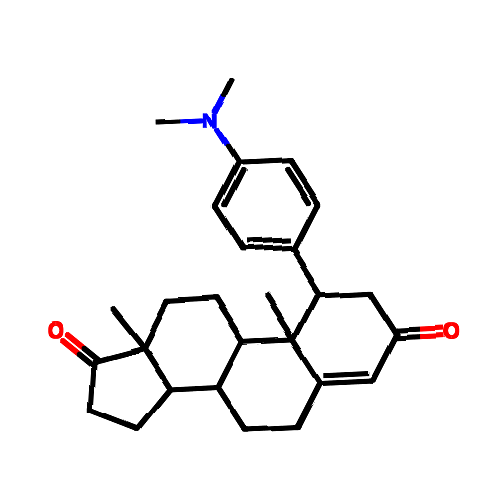 CN(C)c1ccc(C2CC(=O)C=C3CCC4C5CCC(=O)C5(C)CCC4C32C)cc1